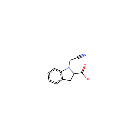 N#CCN1c2ccccc2CC1C(=O)O